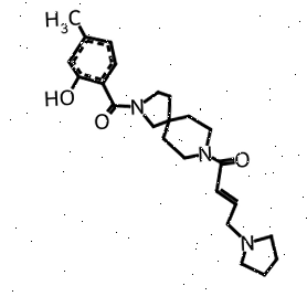 Cc1ccc(C(=O)N2CCC3(CCN(C(=O)C=CCN4CCCC4)CC3)C2)c(O)c1